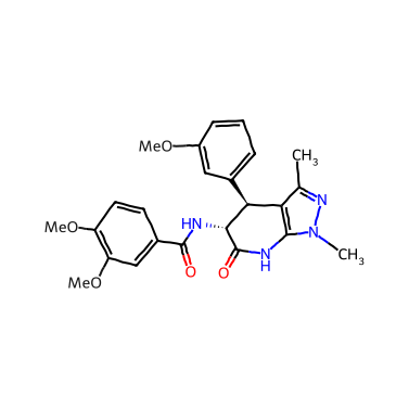 COc1cccc([C@H]2c3c(C)nn(C)c3NC(=O)[C@@H]2NC(=O)c2ccc(OC)c(OC)c2)c1